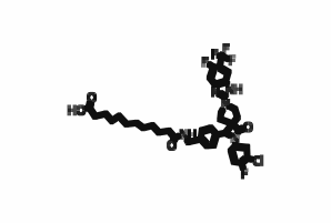 O=C(O)CCCCCCCCCCC(=O)NCc1ccc(C2N(c3ccc(F)c(Cl)c3)C(=O)C23CCN(c2nc4cc(F)c(C(F)(F)F)cc4[nH]2)CC3)cc1